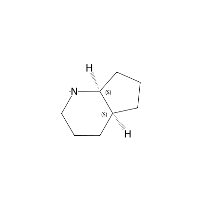 C1C[N][C@H]2CCC[C@H]2C1